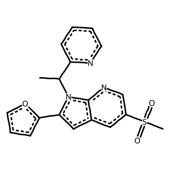 CC(c1ccccn1)n1c(-c2ccco2)cc2cc(S(C)(=O)=O)cnc21